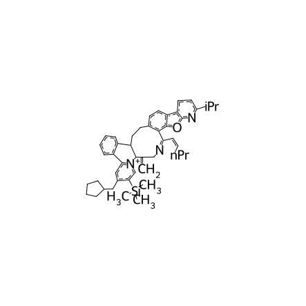 C=C1C/N=C(/C=C\CCC)c2c(ccc3c2oc2nc(C(C)C)ccc23)CCC2c3ccccc3-c3cc(CC4CCCC4)c([Si](C)(C)C)c[n+]3C12